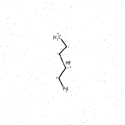 CCCC[CH2][Pd].F